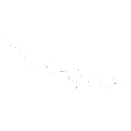 C=CC(=O)N(C)c1ccc(-c2ccc(-c3ccc(C4CCC(CCCCC)CC4)cc3)cc2CC)cc1